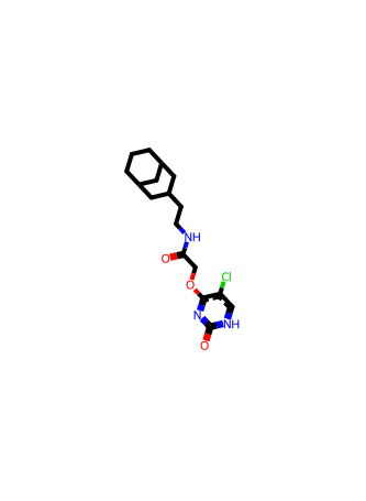 O=C(COc1nc(=O)[nH]cc1Cl)NCCC1CC2CCCC(C2)C1